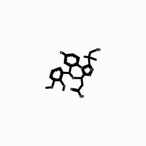 COc1cccc(C2OC(CC(=O)O)c3nnc(C(C)(C)CO)n3-c3ccc(Cl)cc32)c1OC